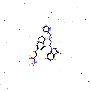 Cc1cn(CCN(Cc2ccc[nH]2)C2CCc3cc(C=CC(=O)NO)ccc32)c2ccccc12